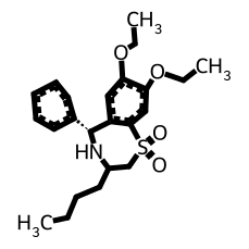 CCCCC1CS(=O)(=O)c2cc(OCC)c(OCC)cc2[C@@H](c2ccccc2)N1